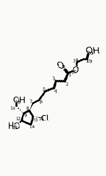 O=C(CCCCCC[C@@H]1[C@@H](CO)[C@H](O)C[C@H]1Cl)OCCO